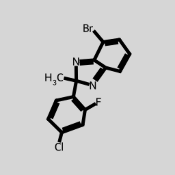 CC1(c2ccc(Cl)cc2F)N=c2cccc(Br)c2=N1